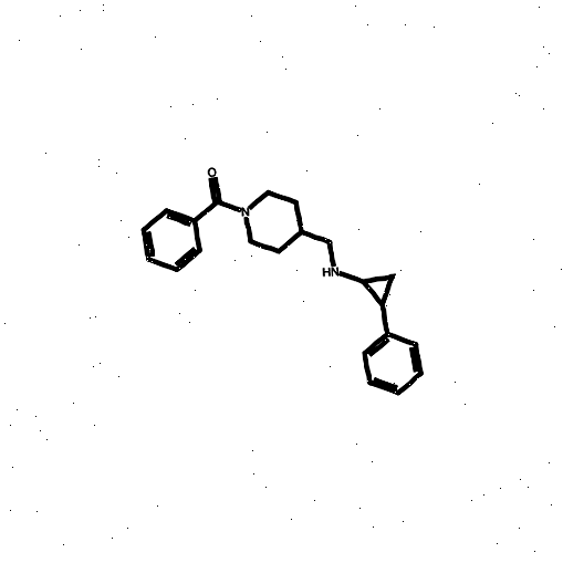 O=C(c1ccccc1)N1CCC(CNC2CC2c2ccccc2)CC1